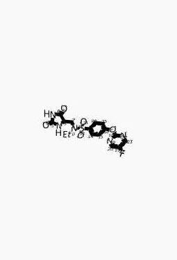 CCN(CC1NC(=O)NC1=O)S(=O)(=O)c1ccc(Oc2ncc(F)cn2)cc1